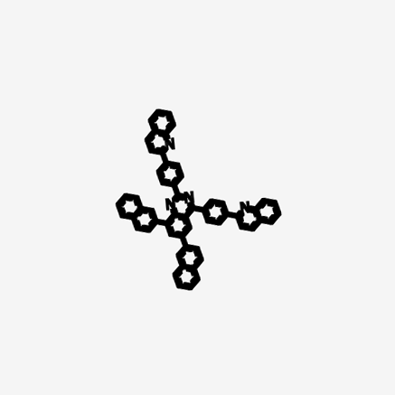 c1ccc2cc(-c3cc(-c4ccc5ccccc5c4)c4nc(-c5ccc(-c6ccc7ccccc7n6)cc5)nc(-c5ccc(-c6ccc7ccccc7n6)cc5)c4c3)ccc2c1